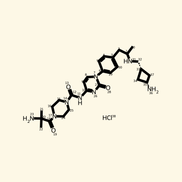 CC(Cc1ccc(-n2ccc(NC(=O)N3CCN(C(=O)C(C)(C)N)CC3)nc2=O)cc1)NC[C@H]1C[C@@H](N)C1.Cl